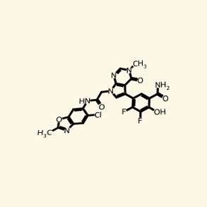 Cc1nc2cc(Cl)c(NC(=O)Cn3cc(-c4cc(C(N)=O)c(O)c(F)c4F)c4c(=O)n(C)cnc43)cc2o1